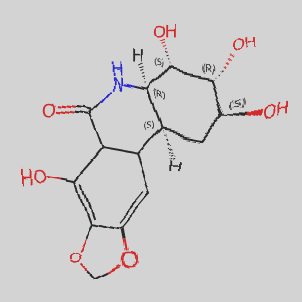 O=C1N[C@H]2[C@H](O)[C@H](O)[C@@H](O)C[C@H]2C2C=C3OCOC3=C(O)C12